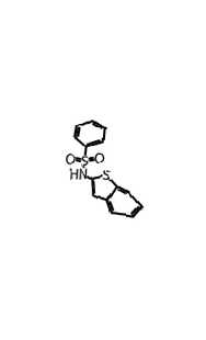 O=S(=O)(Nc1cc2ccccc2s1)c1ccccc1